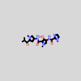 CC(C)C(=O)c1cc(NC(=O)c2c(O)c(NC(=O)c3nccn3C)cn2C)cn1C